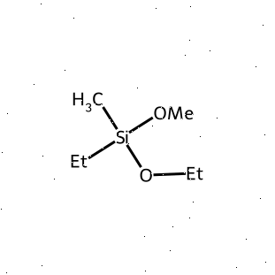 CCO[Si](C)(CC)OC